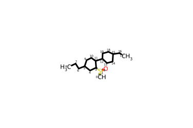 C#S(=O)C1CC(CCC)CCC1C1CCC(CC)CC1